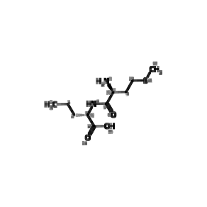 CCC[C@H](NC(=O)[C@@H](N)CCSC)C(=O)O